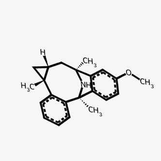 COc1ccc2c(c1)[C@]1(C)C[C@H]3C[C@@]3(C)c3ccccc3[C@@]2(C)N1